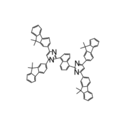 CC1(C)c2ccccc2-c2ccc(-c3cc(-c4ccc5c(c4)C(C)(C)c4ccccc4-5)nc(-c4cccc5c(-c6nc(-c7ccc8c(c7)C(C)(C)c7ccccc7-8)cc(-c7ccc8c(c7)C(C)(C)c7ccccc7-8)n6)cccc45)n3)cc21